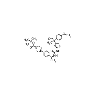 COc1ccc(C(C)(C=O)c2csc(NC(=O)NC(C)c3ccc(N4CCN(C(=O)OC(C)(C)C)CC4)cc3)n2)cc1